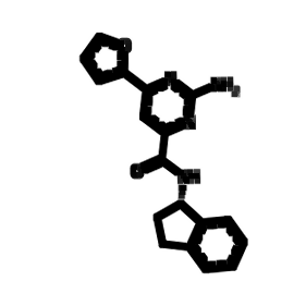 Nc1nc(C(=O)N[C@H]2CCc3ccccc32)cc(-c2ccco2)n1